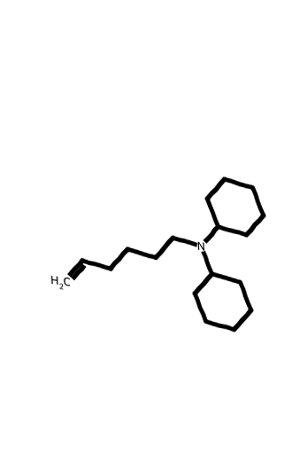 C=CCCCCN(C1CCCCC1)C1CCCCC1